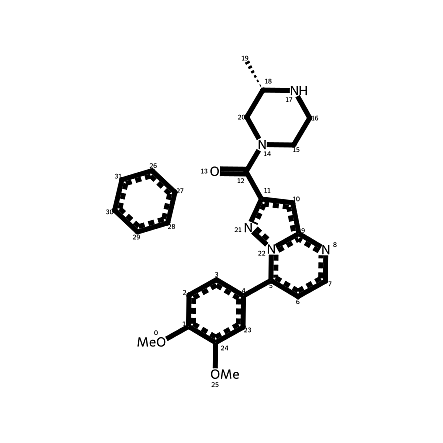 COc1ccc(-c2ccnc3cc(C(=O)N4CCN[C@@H](C)C4)nn23)cc1OC.c1ccccc1